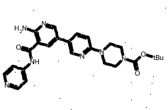 CC(C)(C)OC(=O)N1CCN(c2ccc(-c3cnc(N)c(C(=O)Nc4ccncc4)c3)cn2)CC1